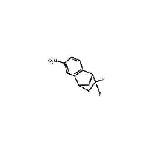 O=[N+]([O-])c1ccc2c(c1)C1CC2C(F)(F)C1